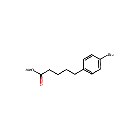 COC(=O)CCCCc1ccc(C(C)(C)C)cc1